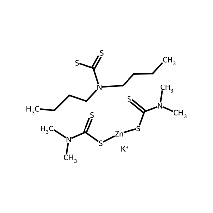 CCCCN(CCCC)C(=S)[S-].CN(C)C(=S)[S][Zn][S]C(=S)N(C)C.[K+]